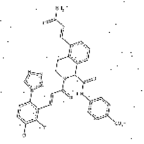 NC(=O)C=Cc1cccc2c1CCN(C(=O)C=Cc1c(-n3cnnn3)ccc(Cl)c1F)C2C(=O)Nc1ccc(C(=O)O)cc1